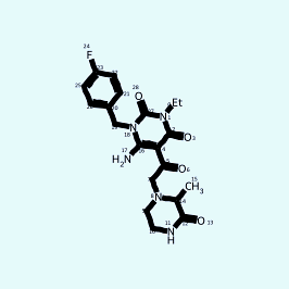 CCn1c(=O)c(C(=O)CN2CCNC(=O)C2C)c(N)n(Cc2ccc(F)cc2)c1=O